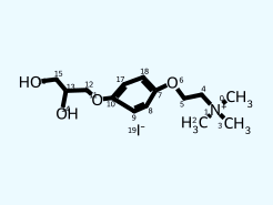 C[N+](C)(C)CCOc1ccc(OCC(O)CO)cc1.[I-]